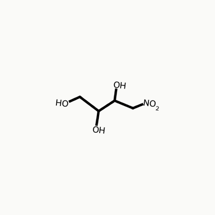 O=[N+]([O-])CC(O)C(O)CO